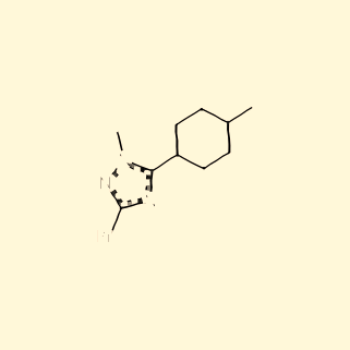 CC1CCC(c2nc(Br)nn2C)CC1